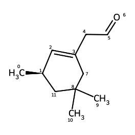 C[C@H]1C=C(CC=O)CC(C)(C)C1